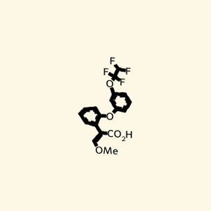 CO/C=C(\C(=O)O)c1ccccc1Oc1cccc(OC(F)(F)C(F)F)c1